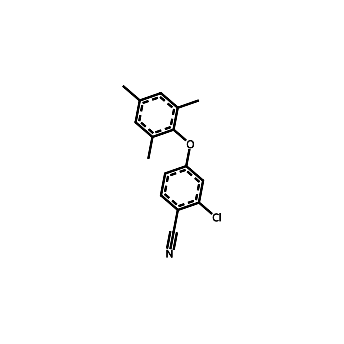 Cc1cc(C)c(Oc2ccc(C#N)c(Cl)c2)c(C)c1